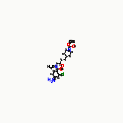 CN(CC(=O)CCC1CCN(C(=O)OC(C)(C)C)CC1)C(=O)c1ccc(N)cc1Cl